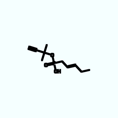 C#CC(C)(C)OP(=O)(O)CC=CCC